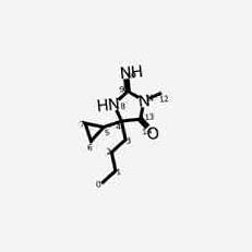 CCCCC1(C2CC2)NC(=N)N(C)C1=O